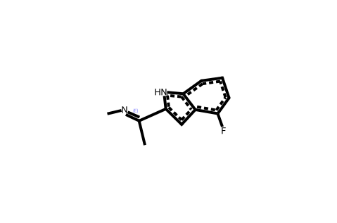 C/N=C(\C)c1cc2c(F)cccc2[nH]1